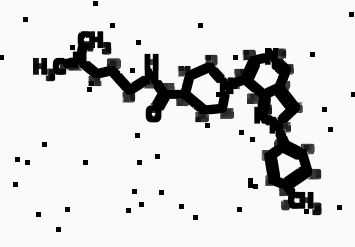 Cc1ccc(-n2cc3cncc(N4CCC(C(=O)NCCCN(C)C)CC4)c3n2)cc1